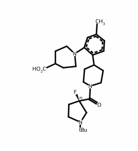 Cc1ccc(C2CCN(C(=O)[C@@]3(F)CCN(C(C)(C)C)C3)CC2)c(N2CCC(C(=O)O)CC2)c1